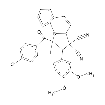 COc1ccc(C2C(C#N)(C#N)C3C=Cc4ccccc4N3C2(I)C(=O)c2ccc(Cl)cc2)cc1OC